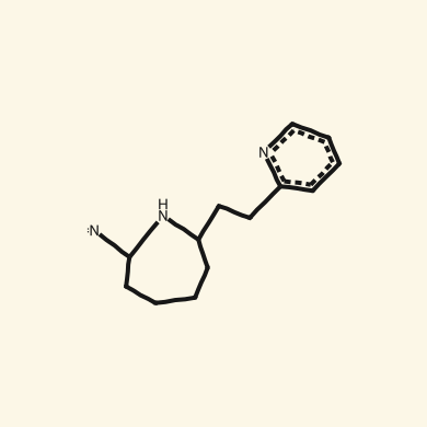 [N]C1CCCCC(CCc2ccccn2)N1